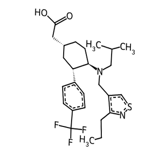 CCCc1nscc1CN(CC(C)C)[C@@H]1CC[C@@H](CC(=O)O)C[C@H]1c1ccc(C(F)(F)F)cc1